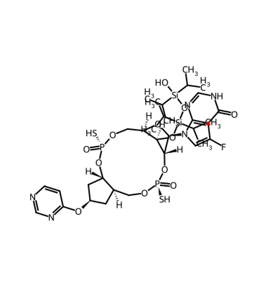 CC(C)[Si](O)(O[Si](O[C@H]1[C@H]2O[P@@](=O)(S)OC[C@H]3C[C@@H](Oc4ccncn4)C[C@@H]3O[P@](=O)(S)OC[C@H]1O[C@H]2n1cc(F)c2c(=O)[nH]cnc21)(C(C)C)C(C)C)C(C)C